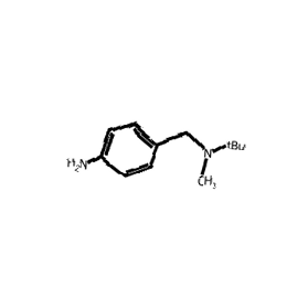 CN(Cc1ccc(N)cc1)C(C)(C)C